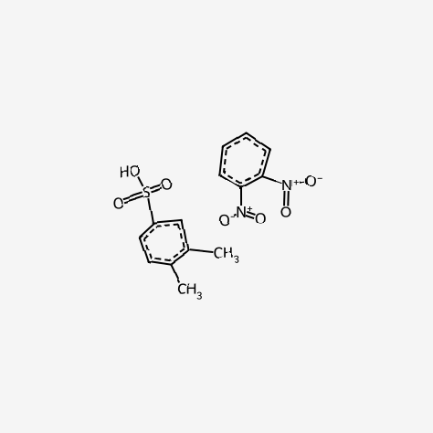 Cc1ccc(S(=O)(=O)O)cc1C.O=[N+]([O-])c1ccccc1[N+](=O)[O-]